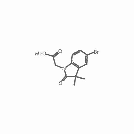 COC(=O)CN1C(=O)C(C)(C)c2cc(Br)ccc21